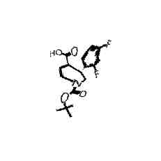 CC(C)(C)OC(=O)N1CC[C@@H](C(=O)O)[C@H](c2ccc(F)cc2F)C1